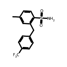 Cc1ccc(S(N)(=O)=O)c(Cc2ccc(C(F)(F)F)cc2)c1